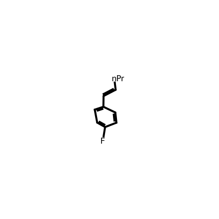 CCC/C=C/c1ccc(F)cc1